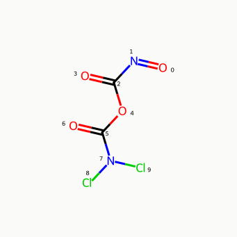 O=NC(=O)OC(=O)N(Cl)Cl